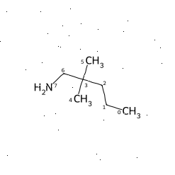 CCCC(C)(C)CN